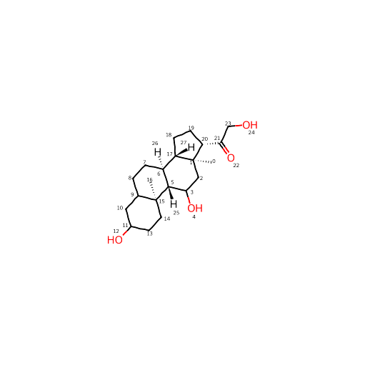 C[C@]12CC(O)[C@H]3[C@@H](CCC4CC(O)CC[C@@]43C)[C@@H]1CC[C@@H]2C(=O)CO